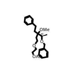 COC(CCOCCOC(C)=O)(CCc1ccccc1)[C@@H](C)OCc1ccccc1